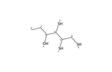 CCC(O)C(S)C(S)CS